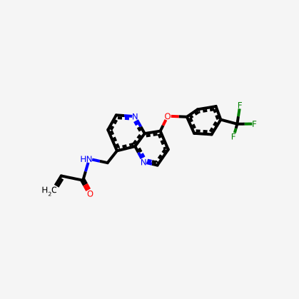 C=CC(=O)NCc1ccnc2c(Oc3ccc(C(F)(F)F)cc3)ccnc12